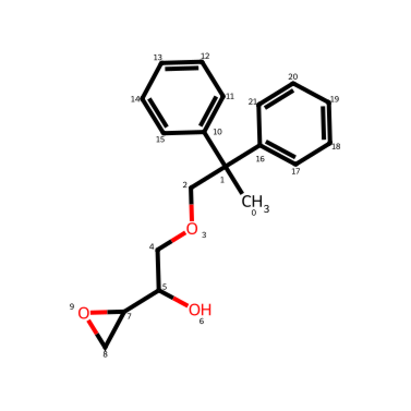 CC(COCC(O)C1CO1)(c1ccccc1)c1ccccc1